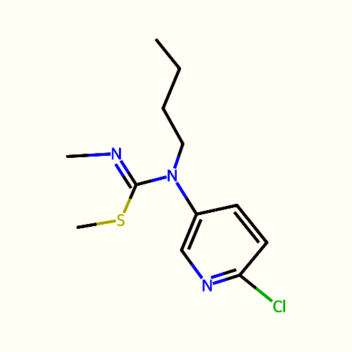 CCCCN(C(=NC)SC)c1ccc(Cl)nc1